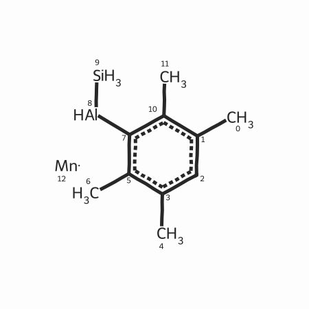 Cc1cc(C)c(C)[c]([AlH][SiH3])c1C.[Mn]